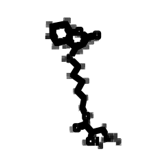 CC(CN)C(=O)OCCCCCCSc1cc(=O)oc2ccccc12